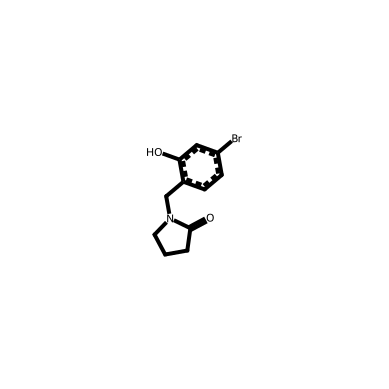 O=C1CCCN1Cc1ccc(Br)cc1O